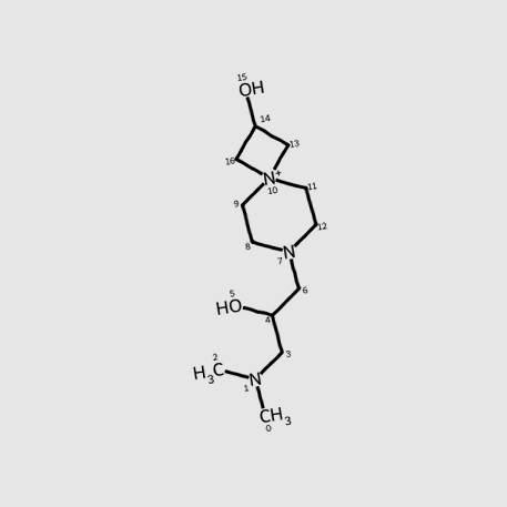 CN(C)CC(O)CN1CC[N+]2(CC1)CC(O)C2